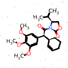 COc1cc([C@@H](C(=O)N2C(=O)OC[C@@H]2C(C)C)[C@@H]2C=CCCC2)cc(OC)c1OC